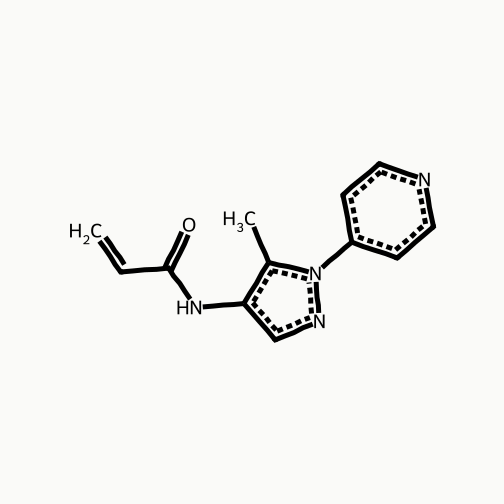 C=CC(=O)Nc1cnn(-c2ccncc2)c1C